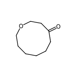 O=C1CCCCCCOCC1